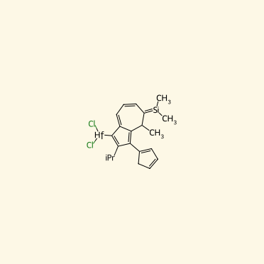 CC(C)C1=[C]([Hf]([Cl])[Cl])C2=CC=CC(=[Si](C)C)C(C)C2=C1C1=CC=CC1